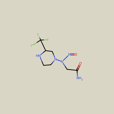 NC(=O)CN(N=O)N1CCNC(C(F)(F)F)C1